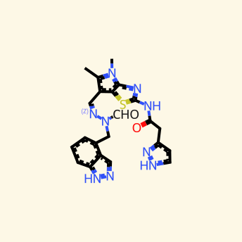 Cc1c(/C=N\N(C=O)Cc2cccc3[nH]ncc23)c2sc(NC(=O)Cc3cc[nH]n3)nc2n1C